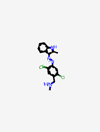 CNCc1cc(Cl)c(/N=N/c2c(C)[nH]c3ccccc23)cc1Cl